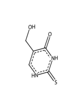 O=c1[nH]c(=S)[nH]cc1CO